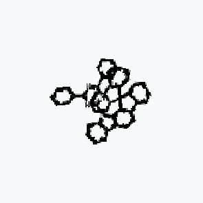 C1=CC2c3ccccc3C3(c4ccccc4-c4ccc5c6ccccc6n(-c6nc(-c7ccccc7)nc(-c7ccccc7)n6)c5c43)C2C=C1